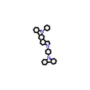 c1ccc(-n2c3ccccc3c3cc4ccc5c(ccn5-c5ccc(-n6c7ccccc7c7ccccc76)cc5)c4cc32)cc1